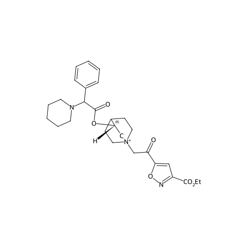 CCOC(=O)c1cc(C(=O)C[N+]23CCC(CC2)[C@@H](OC(=O)C(c2ccccc2)N2CCCCC2)C3)on1